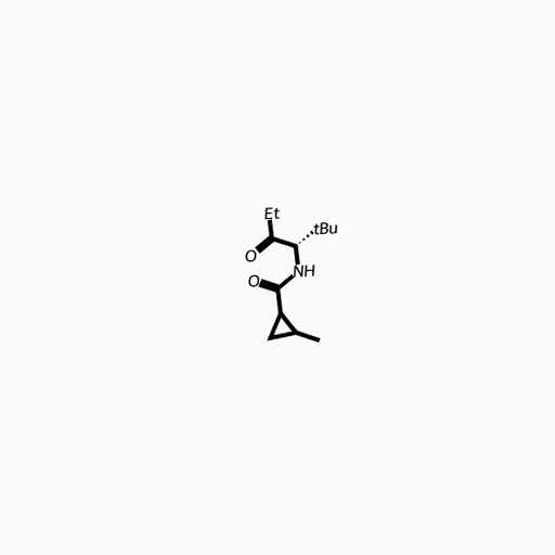 CCC(=O)[C@@H](NC(=O)C1CC1C)C(C)(C)C